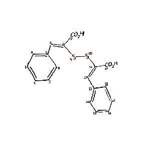 O=C(O)C(=Cc1ccccc1)SSC(=Cc1ccccc1)C(=O)O